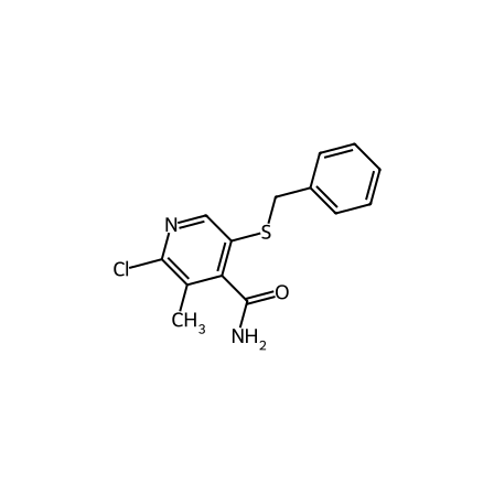 Cc1c(Cl)ncc(SCc2ccccc2)c1C(N)=O